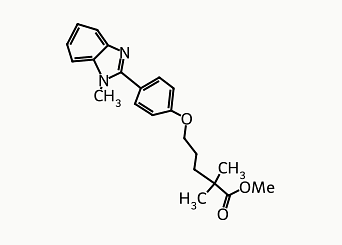 COC(=O)C(C)(C)CCCOc1ccc(-c2nc3ccccc3n2C)cc1